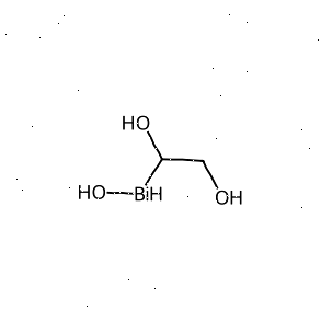 OC[CH](O)[BiH][OH]